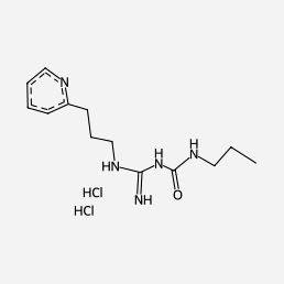 CCCNC(=O)NC(=N)NCCCc1ccccn1.Cl.Cl